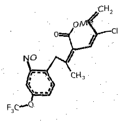 C=C/C(Cl)=C\C(C(=O)OC)=C(/C)Cc1ccc(OC(F)(F)F)cc1N=O